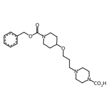 O=C(O)N1CCN(CCCOC2CCN(C(=O)OCc3ccccc3)CC2)CC1